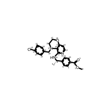 COC(=O)c1ccc([C@H](C)Nc2nccc3c2N(Cc2ccc(Cl)cc2)CCO3)cc1